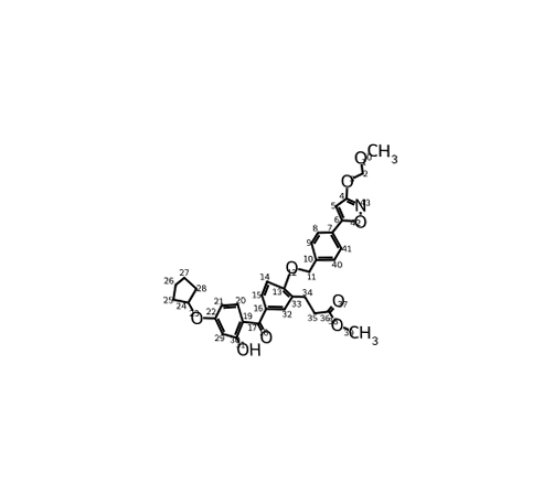 COCOc1cc(-c2ccc(COc3ccc(C(=O)c4ccc(OC5CCCC5)cc4O)cc3CCC(=O)OC)cc2)on1